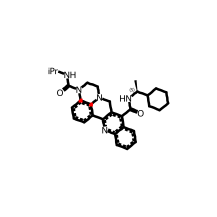 CC(C)NC(=O)N1CCN(Cc2c(-c3ccccc3)nc3ccccc3c2C(=O)N[C@@H](C)C2CCCCC2)CC1